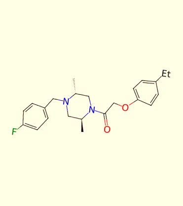 CCc1ccc(OCC(=O)N2C[C@@H](C)N(Cc3ccc(F)cc3)C[C@@H]2C)cc1